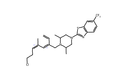 C=C/C(=C\C(C)=C/CCCl)CN1C(C)CN(c2nc3ccc(C(F)(F)F)cc3s2)CC1C